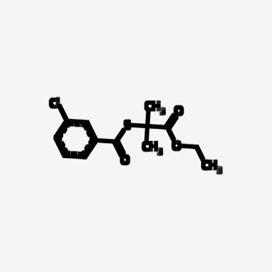 CCOC(=O)C(C)(C)SC(=O)c1cccc(Cl)c1